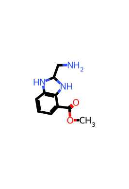 COC(=O)c1cccc2c1NC(CN)N2